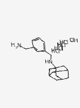 Cl.Cl.Cl.Cl.Cl.NCc1cccc(CNC23CC4CC(CC(C4)C2)C3)c1